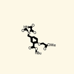 CCCCOC(=O)c1cc(CN2C(=O)NC(=O)C2=O)ccc1OCC(=O)OC